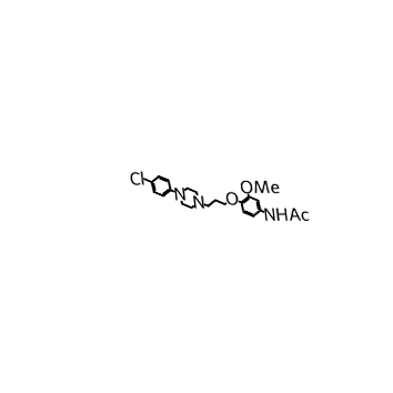 COc1cc(NC(C)=O)ccc1OCCCN1CCN(c2ccc(Cl)cc2)CC1